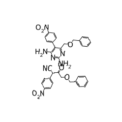 N#CC(C(=O)COCc1ccccc1)c1ccc([N+](=O)[O-])cc1.Nc1nc(N)c(-c2ccc([N+](=O)[O-])cc2)c(COCc2ccccc2)n1